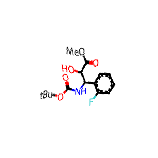 COC(=O)C(O)C(NC(=O)OC(C)(C)C)c1ccccc1F